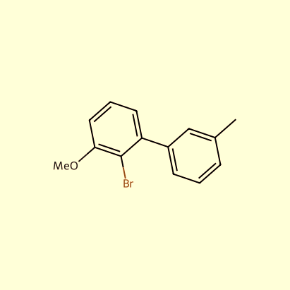 COc1cccc(-c2cccc(C)c2)c1Br